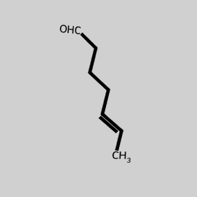 CC=CCCCC=O